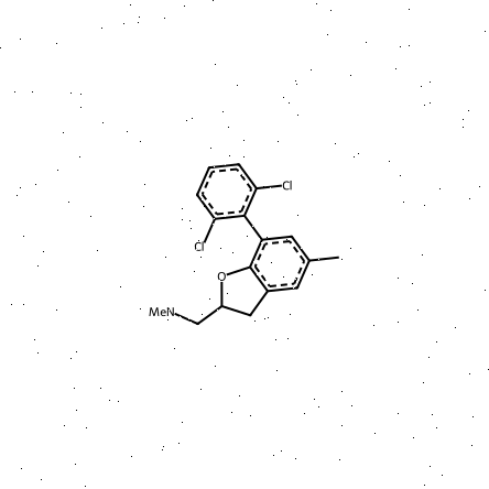 CNCC1Cc2cc(C)cc(-c3c(Cl)cccc3Cl)c2O1